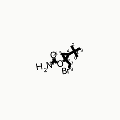 CC(C)(C)C1CC1(CBr)OC(N)=O